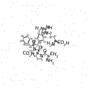 C[C@H](N)C(=O)N1CCC[C@H]1C(=O)N(CC(=O)O)P(=O)(Cc1ccccc1)Cc1ccccc1.N=C(N)NCCC[C@H](N)C(=O)O